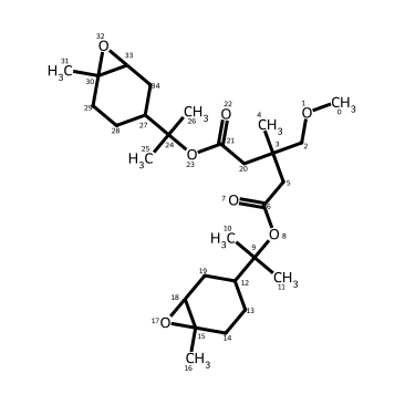 COCC(C)(CC(=O)OC(C)(C)C1CCC2(C)OC2C1)CC(=O)OC(C)(C)C1CCC2(C)OC2C1